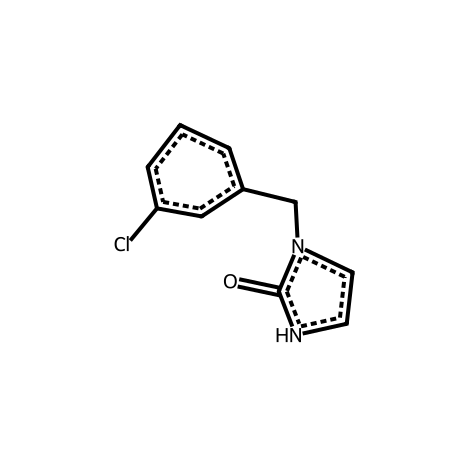 O=c1[nH]ccn1Cc1cccc(Cl)c1